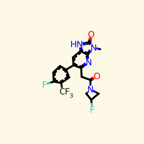 Cn1c(=O)[nH]c2cc(-c3ccc(F)c(C(F)(F)F)c3)c(CC(=O)N3CC(F)C3)nc21